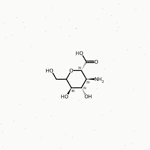 N[C@H]1[C@H](O)[C@@H](O)C(CO)O[C@@H]1C(=O)O